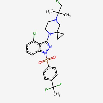 CC(F)(F)c1ccc(S(=O)(=O)n2nc(N3CCN(C(C)(C)CF)CC34CC4)c3c(Cl)cccc32)cc1